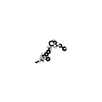 CCCOC(=O)[C@H](C)NP(=O)(Oc1ccccc1)C(F)(F)c1ccc2ccc(C(=O)N[C@H]3CCCC[C@H]4CC[C@@H](C(=O)N5CCC(c6cccnc6)C5)N4C3=O)cc2c1